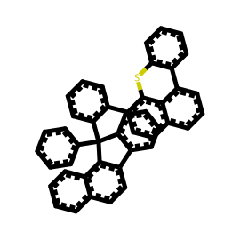 c1ccc(C2(c3ccccc3-c3ccc4cccc5c4c3Sc3ccccc3-5)c3ccccc3-c3ccc4ccccc4c32)cc1